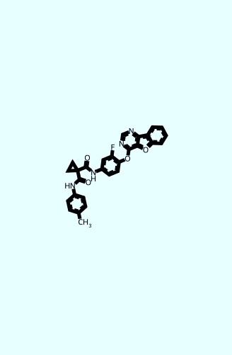 Cc1ccc(NC(=O)C2(C(=O)Nc3ccc(Oc4ncnc5c4oc4ccccc45)c(F)c3)CC2)cc1